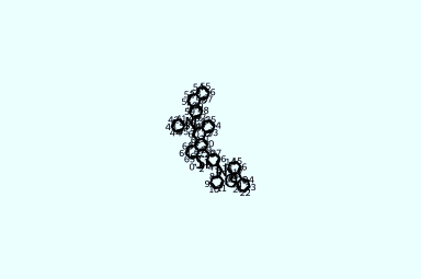 C[Si]1(C)c2cc(N(c3ccccc3)c3cccc4c3oc3ccccc34)ccc2-c2cc3c4ccccc4c(N(c4ccccc4)c4ccc5c(ccc6ccccc65)c4)cc3c3cccc1c23